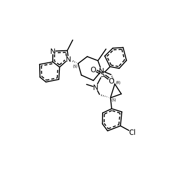 Cc1nc2ccccc2n1[C@H]1CCN(C[C@@H]2C[C@@]2(CN(C)S(=O)(=O)c2ccccc2)c2cccc(Cl)c2)C(C)C1